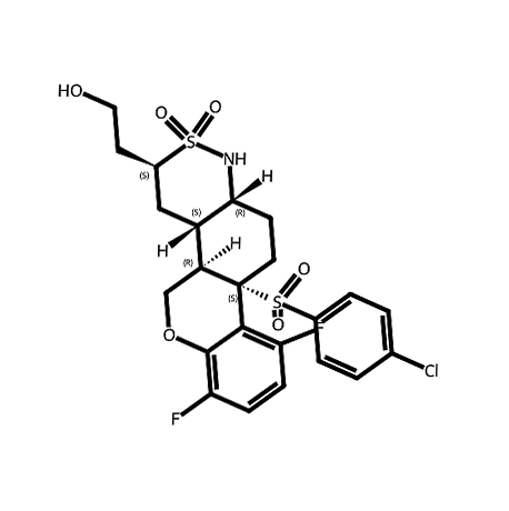 O=S1(=O)N[C@@H]2CC[C@@]3(S(=O)(=O)c4ccc(Cl)cc4)c4c(F)ccc(F)c4OC[C@H]3[C@@H]2C[C@H]1CCO